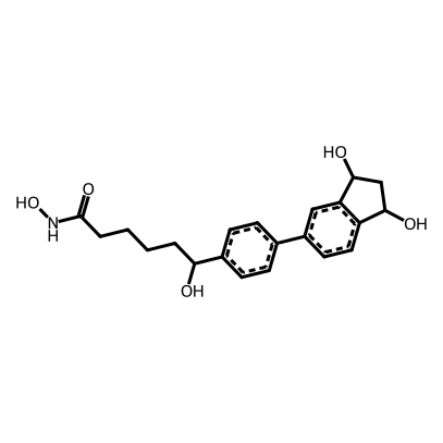 O=C(CCCCC(O)c1ccc(-c2ccc3c(c2)C(O)CC3O)cc1)NO